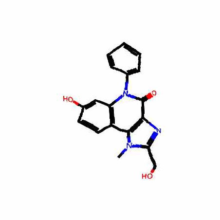 Cn1c(CO)nc2c(=O)n(-c3ccccc3)c3cc(O)ccc3c21